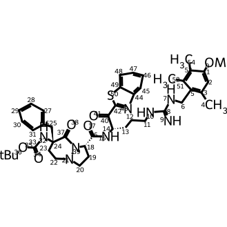 COc1cc(C)c(CNC(=N)NCCC[C@H](NC(=O)[C@@H]2CCN3CC[C@](Cc4ccccc4)(NC(=O)OC(C)(C)C)C(=O)N23)C(=O)c2nc3ccccc3s2)c(C)c1C